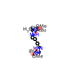 COC(=O)N[C@@H](CC(C)(C)C)C(=O)N1C[Si](C)(C)C[C@H]1c1nc2ccc3cc(-c4ccc(-c5cnc([C@@H]6CCCN6C(=O)[C@@H](NC(=O)OC)C(C)C)[nH]5)cc4)ccc3c2[nH]1